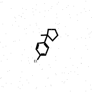 CCc1ccc(C2(C)CCCC2)cc1